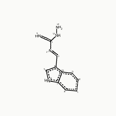 N=C(N=Cc1c[nH]c2ccccc12)NN